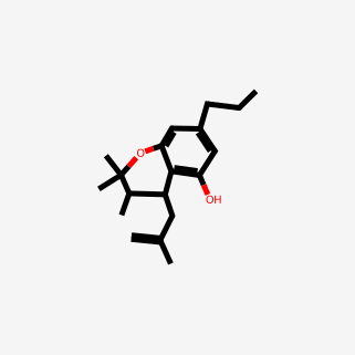 C=C(C)CC1c2c(O)cc(CCC)cc2OC(C)(C)C1C